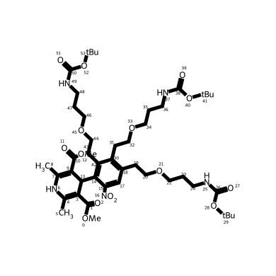 COC(=O)C1=C(C)NC(C)=C(C(=O)OC)C1c1c([N+](=O)[O-])cc(CCOCCCNC(=O)OC(C)(C)C)c(CCOCCCNC(=O)OC(C)(C)C)c1CCOCCCNC(=O)OC(C)(C)C